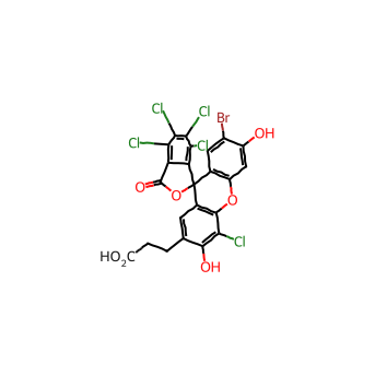 O=C(O)CCc1cc2c(c(Cl)c1O)Oc1cc(O)c(Br)cc1C21OC(=O)c2c(Cl)c(Cl)c(Cl)c(Cl)c21